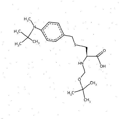 CN(c1ccc(CSC[C@H](NCOC(C)(C)C)C(=O)O)cc1)C(C)(C)C